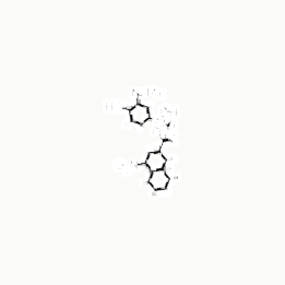 CC(=O)Nc1cc([As](=O)(O)OC(=O)c2cc([N+](=O)[O-])c3ccccc3c2)ccc1O